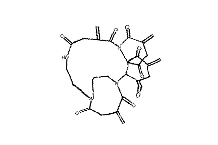 C=C1CC(=O)N2CCNC(=O)CC(=C)C(=O)N3C(=O)C(=C)CC(=O)C34C(=O)C(=C)CC(=O)C4N(CC2)C1=O